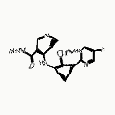 CNC(=O)c1cnccc1Nc1cccc(-c2ncc(F)cn2)c1OC